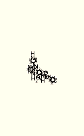 COc1cc(-n2nc(C3CCNCC3)c3ncnc(N)c32)ccc1NC(=O)OCc1ccccc1